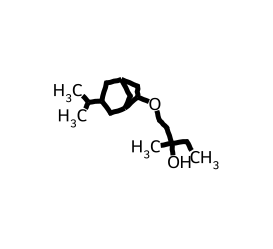 CCC(C)(O)CCOC1CC2CC(C(C)C)CC1C2